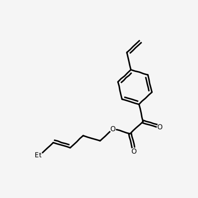 C=Cc1ccc(C(=O)C(=O)OCCC=CCC)cc1